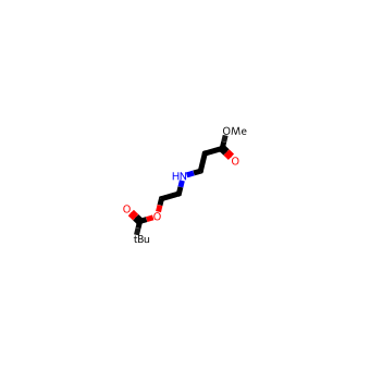 COC(=O)CCNCCOC(=O)C(C)(C)C